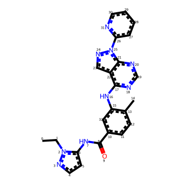 CCn1nccc1NC(=O)c1ccc(C)c(Nc2ncnc3c2cnn3-c2ccccn2)c1